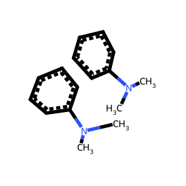 CN(C)c1ccccc1.CN(C)c1ccccc1